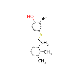 CCCc1cc(SC[SiH2]c2cccc(C)c2C)ccc1O